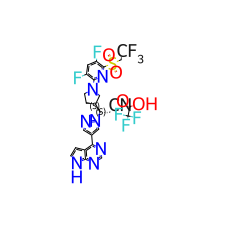 N#CC[C@@H]([C@H]1CCN(c2nc(S(=O)(=O)CC(F)(F)F)c(F)cc2F)C1)n1cc(-c2ncnc3[nH]ccc23)cn1.O=C(O)C(F)(F)F